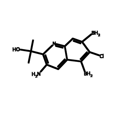 Bc1cc2nc(C(C)(C)O)c(N)cc2c(B)c1Cl